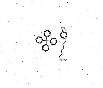 CCCCCCCCCCCCCCCC[n+]1ccc(C)cc1.c1ccc([B-](c2ccccc2)(c2ccccc2)c2ccccc2)cc1